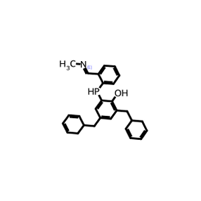 C/N=C/c1ccccc1Pc1cc(CC2C=CC=CC2)cc(CC2C=CC=CC2)c1O